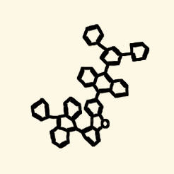 c1ccc(-c2cc(-c3ccccc3)cc(-c3c4ccccc4c(-c4ccc5c(c4)oc4cccc(-c6c7ccccc7c(-c7ccccc7)c7ccccc67)c45)c4ccccc34)c2)cc1